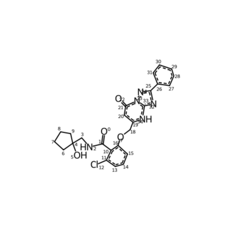 O=C(NCC1(O)CCCC1)c1c(Cl)cccc1OCc1cc(=O)n2nc(-c3ccccc3)nc2[nH]1